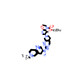 Cc1c(N2CCc3cnc(Nc4cnc5c(c4)CN(CC(F)(F)F)CC5)nc3C2)cnc2c1N(C(=O)OC(C)(C)C)CCO2